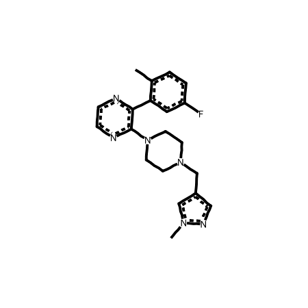 Cc1ccc(F)cc1-c1nccnc1N1CCN(Cc2cnn(C)c2)CC1